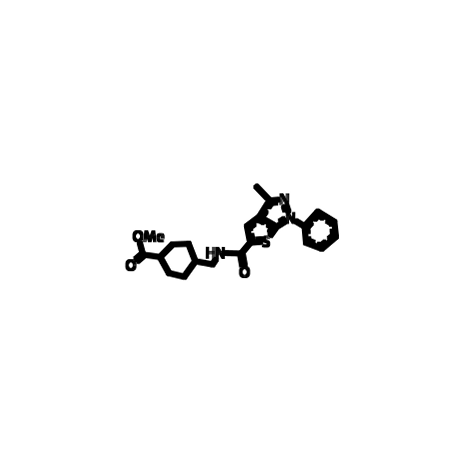 COC(=O)C1CCC(CNC(=O)c2cc3c(C)nn(-c4ccccc4)c3s2)CC1